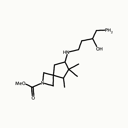 COC(=O)N1CC2(CC(NCCC(O)CP)C(C)(C)C2C)C1